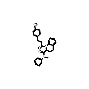 CN(C(=O)C1CCc2ccccc2N1C(=O)CCc1ccc(C#N)cc1)c1ccccc1